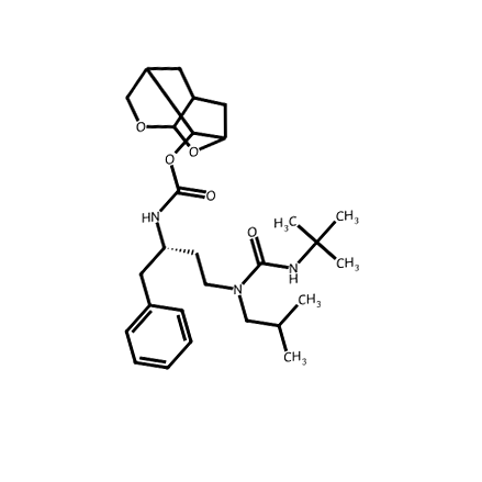 CC(C)CN(CC[C@H](Cc1ccccc1)NC(=O)OC1C2COC3OC1CC3C2)C(=O)NC(C)(C)C